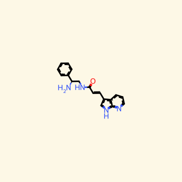 N[C@H](CNC(=O)C=Cc1c[nH]c2ncccc12)c1ccccc1